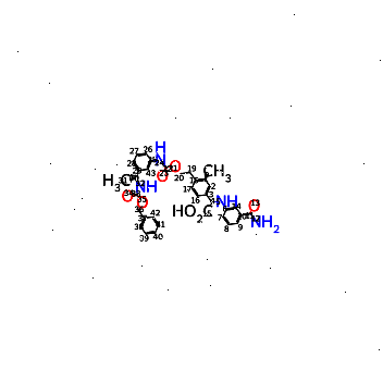 Cc1cc(C(Nc2cccc(C(N)=O)c2)C(=O)O)ccc1CCOC(=O)Nc1cccc([C@@H](C)NC(=O)OCc2ccccc2)c1